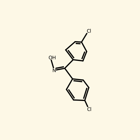 ON=C(c1ccc(Cl)cc1)c1ccc(Cl)cc1